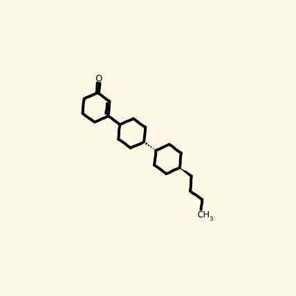 CCCC[C@H]1CC[C@H](C2CCC(C3=CC(=O)CCC3)CC2)CC1